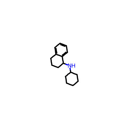 c1ccc2c(c1)CCCC2NC1CCCCC1